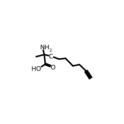 C#CCCCCCC(C)(N)C(=O)O